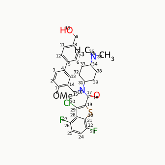 COc1ccc(-c2ccc(CO)cc2)cc1CN(C(=O)c1sc2c(F)ccc(F)c2c1Cl)C1CCC(N(C)C)CC1